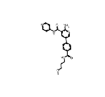 COCCCNC(=O)c1ccc(-c2cnc(N)c(C(=O)Nc3ccncc3)c2)cc1